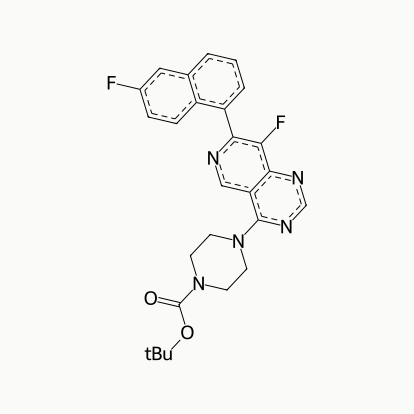 CC(C)(C)OC(=O)N1CCN(c2ncnc3c(F)c(-c4cccc5cc(F)ccc45)ncc23)CC1